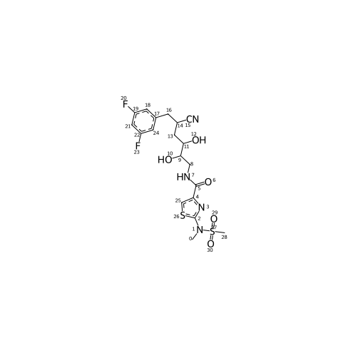 CN(c1nc(C(=O)NCC(O)C(O)CC(C#N)Cc2cc(F)cc(F)c2)cs1)S(C)(=O)=O